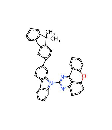 CC1(C)c2ccccc2-c2cc(-c3ccc4c5ccccc5n(-c5nc6c7c(cccc7n5)Oc5ccccc5-6)c4c3)ccc21